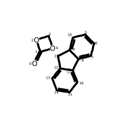 O=C1OCO1.c1ccc2c(c1)Cc1ccccc1-2